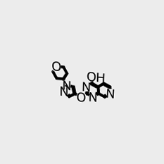 Oc1nc(Oc2cnn(C3CCOCC3)c2)nc2cnccc12